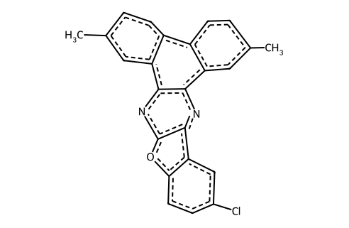 Cc1ccc2c3ccc(C)cc3c3nc4c(nc3c2c1)oc1ccc(Cl)cc14